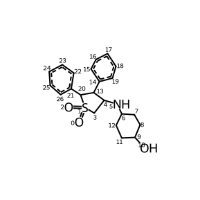 O=S1(=O)CC(NC2CCC(O)CC2)C(c2ccccc2)C1c1ccccc1